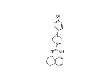 Oc1ccc(N2CCN(C3=NC4CCCc5cccc(c54)N3)CC2)cc1